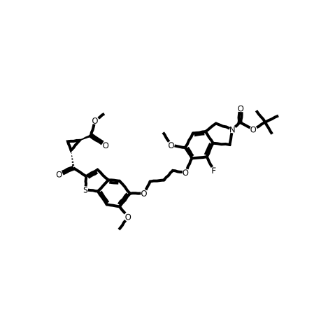 COC(=O)[C@@H]1C[C@H]1C(=O)c1cc2cc(OCCCOc3c(OC)cc4c(c3F)CN(C(=O)OC(C)(C)C)C4)c(OC)cc2s1